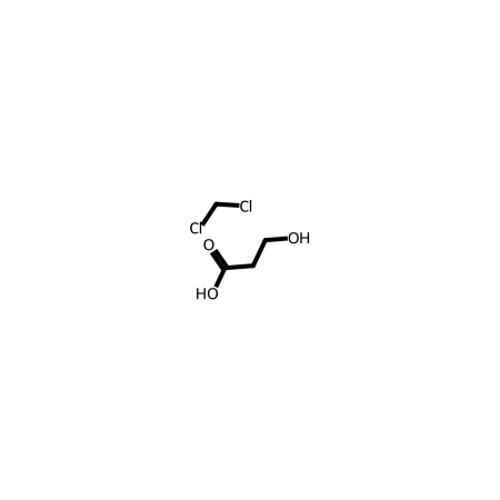 ClCCl.O=C(O)CCO